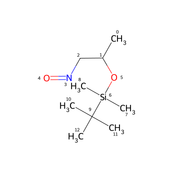 CC(CN=O)O[Si](C)(C)C(C)(C)C